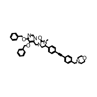 CN1C(=O)N(Cc2ncnc(OCc3ccccc3)c2OCc2ccccc2)CC1c1ccc(C#Cc2ccc(CN3CCOCC3)cc2)cc1